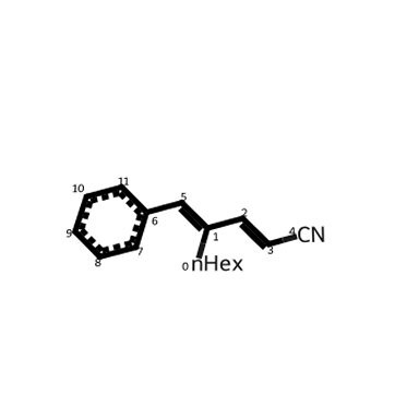 CCCCCCC(/C=C/C#N)=C\c1ccccc1